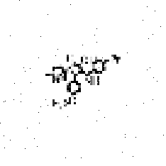 Cc1ccc(N2C(=O)C(O)=C(C(=N)c3ccc(C(C)C)cc3)C2c2ccc(OC(F)(F)F)cc2)nn1